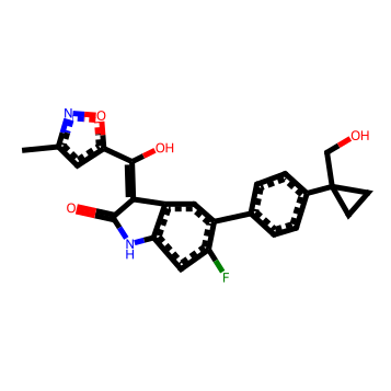 Cc1cc(/C(O)=C2\C(=O)Nc3cc(F)c(-c4ccc(C5(CO)CC5)cc4)cc32)on1